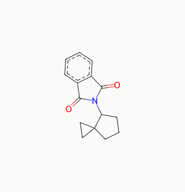 O=C1c2ccccc2C(=O)N1C1CCCC12CC2